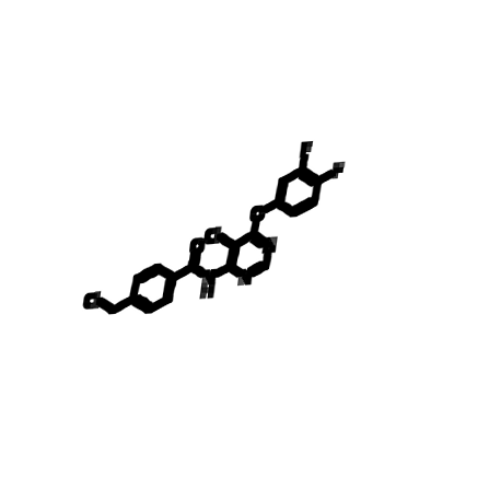 O=C(Nc1ncnc(Oc2ccc(F)c(F)c2)c1Cl)c1ccc(CCl)cc1